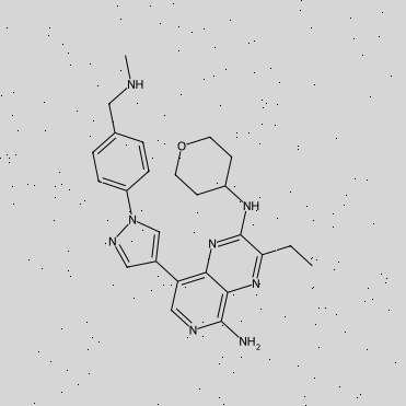 CCc1nc2c(N)ncc(-c3cnn(-c4ccc(CNC)cc4)c3)c2nc1NC1CCOCC1